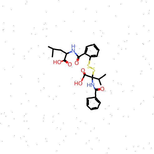 CC(C)CC(NC(=O)c1ccccc1SSC(NC(=O)c1ccccc1)(C(=O)O)C(C)C)C(=O)O